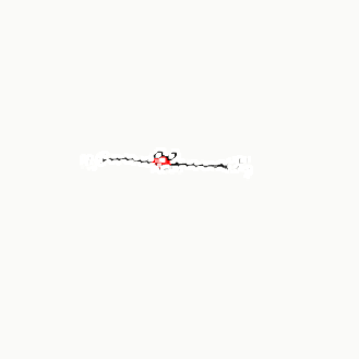 CCCCCCCCCCCCCCCCOCCCCCCCCCCCCCCCC.[NaH].c1ccc(-c2ccccc2)cc1